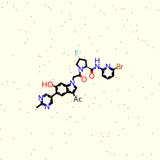 CC(=O)c1cn(CC(=O)N2C[C@H](F)C[C@H]2C(=O)Nc2cccc(Br)n2)c2cc(O)c(-c3cnc(C)nc3)cc12